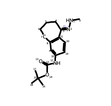 CN/N=C1\CCCCc2cc(NC(=O)OC(C)(C)C)ccc21